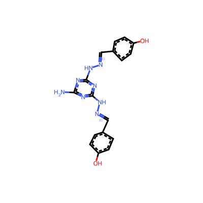 Nc1nc(N/N=C/c2ccc(O)cc2)nc(N/N=C/c2ccc(O)cc2)n1